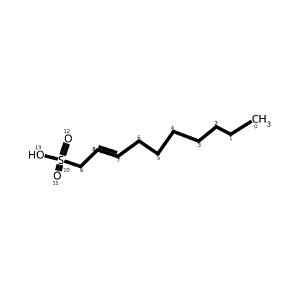 CCCCCCCC=CCS(=O)(=O)O